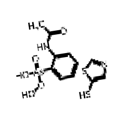 CC(=O)Nc1ccccc1[As](=O)(O)OO.Sc1cncs1